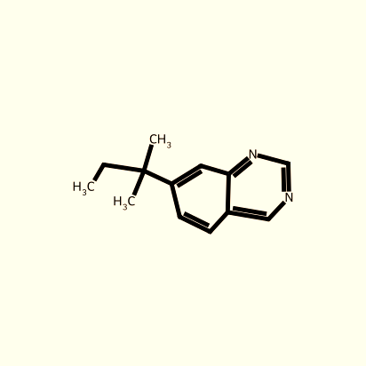 CCC(C)(C)c1ccc2cncnc2c1